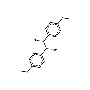 [2H]C(c1ccc(CC)cc1)C(O)c1ccc(CC)cc1